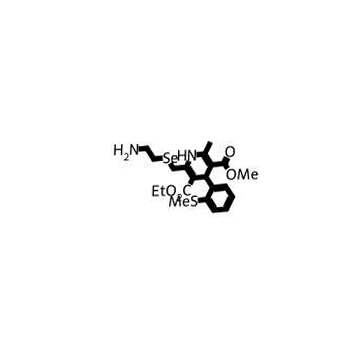 CCOC(=O)C1=C(C[Se]CCN)NC(C)=C(C(=O)OC)C1c1ccccc1SC